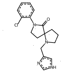 O=C1N(c2ccccc2Cl)CCC12CCCN2Cc1c[nH]cn1